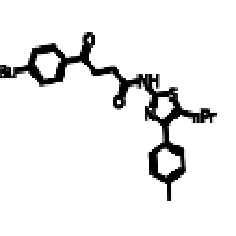 CCCc1sc(NC(=O)CCC(=O)c2ccc(C(C)(C)C)cc2)nc1-c1ccc(C)cc1